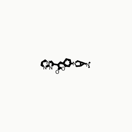 CN(C)C1C2CN(c3ccc4cc(-c5cn6cccnc6n5)c(=O)oc4c3)CC21